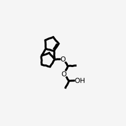 CC(O)OC(C)OC12CCC(C1)C1CCC=C12